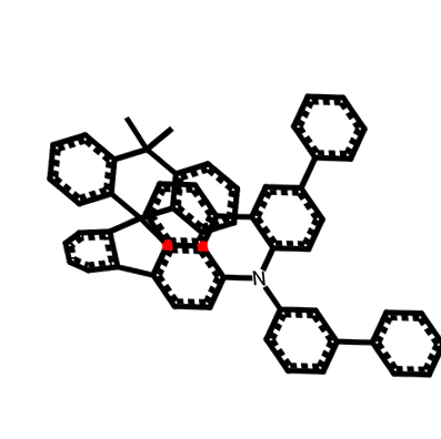 CC1(C)c2ccccc2C2(c3ccccc3-c3ccc(N(c4cccc(-c5ccccc5)c4)c4ccc(-c5ccccc5)cc4-c4ccccc4)cc32)c2ccccc21